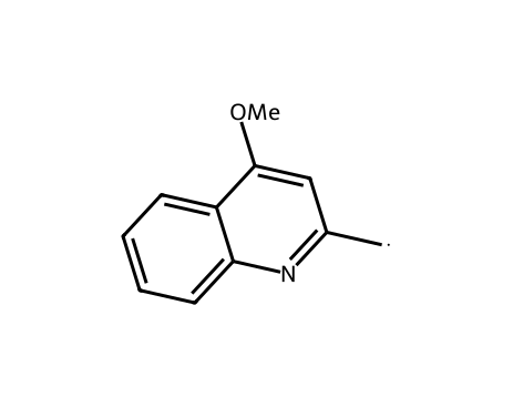 [CH2]c1cc(OC)c2ccccc2n1